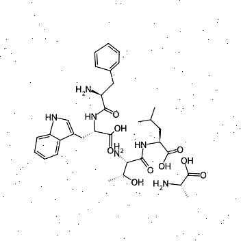 CC(C)C[C@H](NC(=O)[C@@H](N)[C@@H](C)O)C(=O)O.C[C@H](N)C(=O)O.N[C@@H](Cc1ccccc1)C(=O)N[C@@H](Cc1c[nH]c2ccccc12)C(=O)O